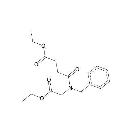 CCOC(=O)CCC(=O)N(CC(=O)OCC)Cc1ccccc1